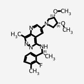 CO[C@H]1CN(c2cnc3c(C)nnc(N[C@H](C)c4cccc(C)c4F)c3c2)C[C@H]1OC